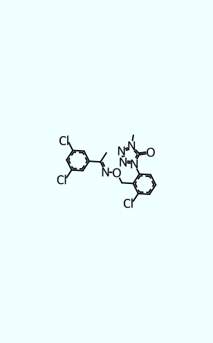 CC(=NOCc1c(Cl)cccc1-n1nnn(C)c1=O)c1cc(Cl)cc(Cl)c1